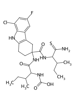 CCC(C)C(NC(=O)O)C(=O)NC1(C(=O)NC(C(N)=S)C(C)CC)CCc2[nH]c3c(Cl)cc(F)cc3c2C1